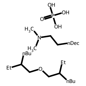 CCCCC(CC)COCC(CC)CCCC.CCCCCCCCCCCCN(C)C.O=P(O)(O)O